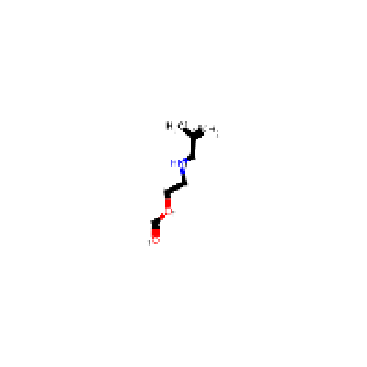 C=C(C)CNCCO[C]=O